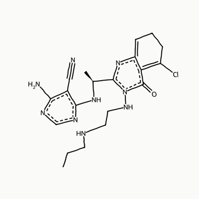 CCCNCCNn1c([C@H](C)Nc2ncnc(N)c2C#N)nc2c(c1=O)=C(Cl)CCC=2